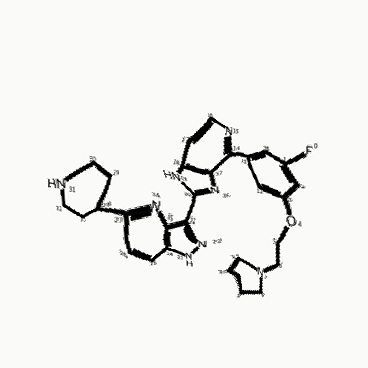 Fc1cc(OCCN2CCCC2)cc(-c2nccc3[nH]c(-c4n[nH]c5ccc(C6CCNCC6)nc45)nc23)c1